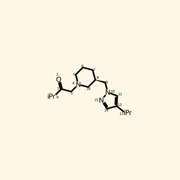 CC(C)C(=O)CN1CCC[C@@H](Cn2cc(C(C)C)cn2)C1